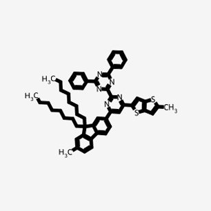 CCCCCCCCC1(CCCCCCCC)c2cc(C)ccc2-c2ccc(-c3cc(-c4cc5sc(C)cc5s4)nc(-c4nc(-c5ccccc5)nc(-c5ccccc5)n4)n3)cc21